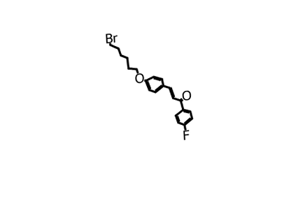 O=C(/C=C/c1ccc(OCCCCCCBr)cc1)c1ccc(F)cc1